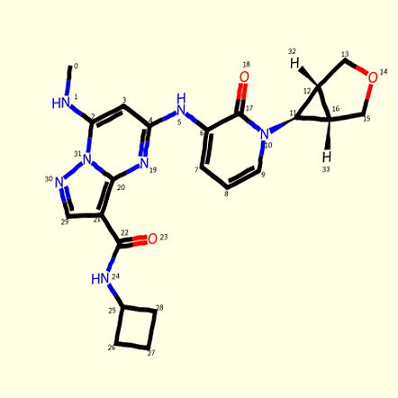 CNc1cc(Nc2cccn([C@H]3[C@@H]4COC[C@@H]43)c2=O)nc2c(C(=O)NC3CCC3)cnn12